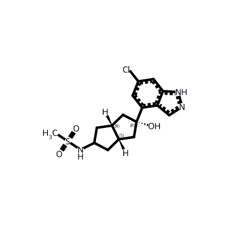 CS(=O)(=O)NC1C[C@@H]2C[C@@](O)(c3cc(Cl)cc4[nH]ncc34)C[C@@H]2C1